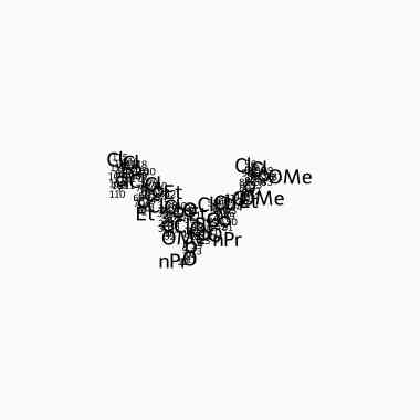 CCCOc1ccc(C2(c3ccc(OCCC)cc3)CC2(Cl)Cl)cc1.CCOc1ccc(C2(c3ccc(OC)cc3)CC2(Cl)Cl)cc1.CCOc1ccc(C2(c3ccccc3OCC)CC2(Cl)Cl)cc1.CCc1ccc(C2(c3ccc(CC)cc3)CC2(Cl)Cl)cc1.COc1ccc(C2(c3ccc(OC)cc3)CC2(Cl)Cl)cc1.Cc1ccc(C2(c3ccc(C)cc3)CC2(Cl)Cl)cc1